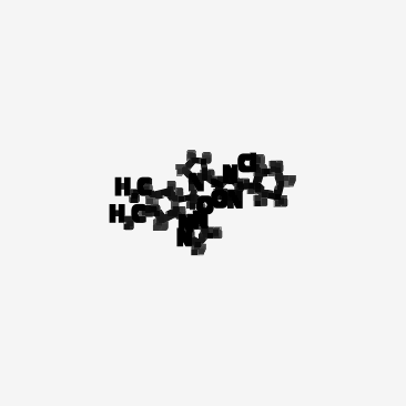 Cc1cc(C(=O)N2CCC[C@H]2c2nc(-c3ccccc3Cl)no2)c(-n2nccn2)cc1C